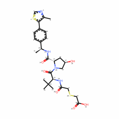 Cc1ncsc1-c1ccc([C@H](C)NC(=O)[C@@H]2C[C@@H](O)CN2C(=O)[C@@H](NC(=O)CSCC(=O)O)C(C)(C)C)cc1